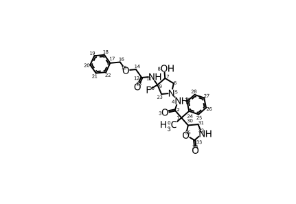 CC(C(=O)NN1CC(O)C(F)(NC(=O)COCc2ccccc2)C1)(c1ccccc1)C1CNC(=O)O1